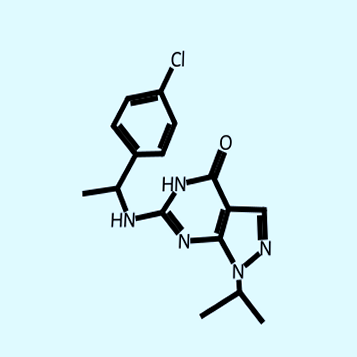 CC(Nc1nc2c(cnn2C(C)C)c(=O)[nH]1)c1ccc(Cl)cc1